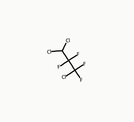 FC(F)(Cl)C(F)(F)[C](Cl)Cl